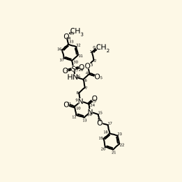 C=CCOC(=O)C(CCn1c(=O)ccn(COCc2ccccc2)c1=O)NS(=O)(=O)c1ccc(OC)cc1